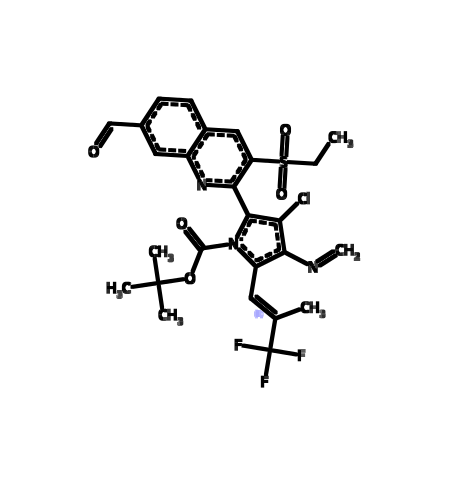 C=Nc1c(Cl)c(-c2nc3cc(C=O)ccc3cc2S(=O)(=O)CC)n(C(=O)OC(C)(C)C)c1/C=C(\C)C(F)(F)F